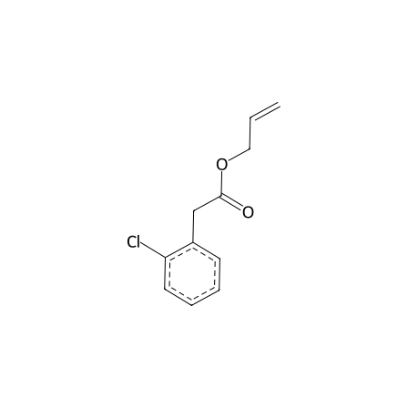 C=CCOC(=O)Cc1ccccc1Cl